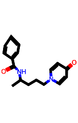 CC(CCCn1ccc(=O)cc1)NC(=O)c1ccccc1